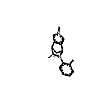 Cc1ccccc1N1C2CC(c3cn(C)cc32)[C@@H]1C